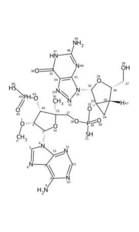 CO[C@H]1[C@@H](n2cnc3c(N)ncnc32)O[C@](C)(COP(=O)(S)O[C@@]23C[C@H]2[C@@H](CO)O[C@H]3n2nnc3c(=O)[nH]c(N)nc32)[C@H]1O[PH](=O)S